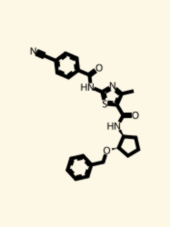 Cc1nc(NC(=O)c2ccc(C#N)cc2)sc1C(=O)N[C@H]1CCC[C@@H]1OCc1ccccc1